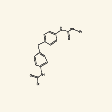 CCC(=O)Nc1ccc(Cc2ccc(NC(=O)NC(C)C)cc2)cc1